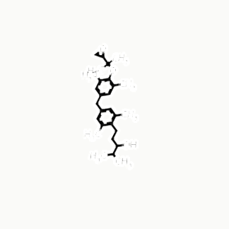 Cc1cc(Cc2cc(C)c(OC(C)(C)C3CO3)c(C)c2)cc(C)c1CCC(O)C(C)C